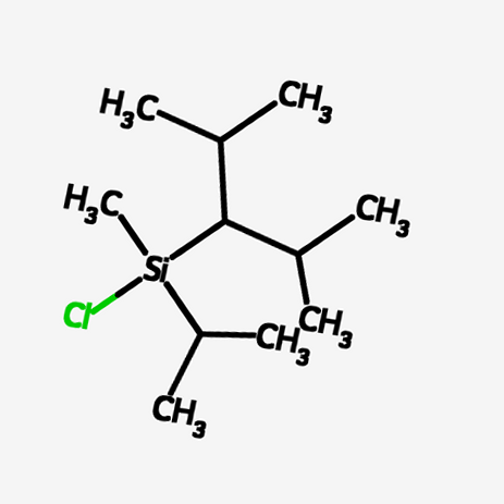 CC(C)C(C(C)C)[Si](C)(Cl)C(C)C